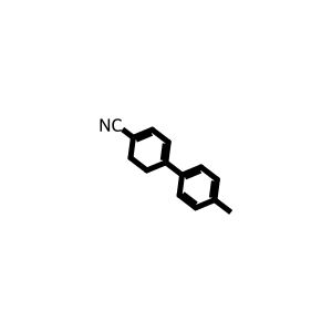 Cc1ccc(C2=CC=C(C#N)CC2)cc1